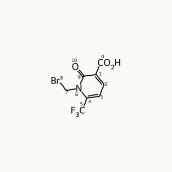 O=C(O)c1ccc(C(F)(F)F)n(CBr)c1=O